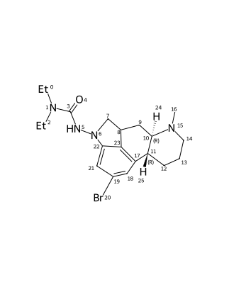 CCN(CC)C(=O)NN1CC2C[C@@H]3[C@H](CCCN3C)c3cc(Br)cc1c32